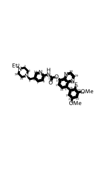 CCN1CCN(Cc2ccc(NC(=O)Oc3ccc(-c4cc(OC)cc(OC)c4F)c4nccnc34)nc2)CC1